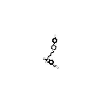 O=c1oc2cc([N+](=O)[O-])ccc2n1CCCCN1CCN(c2ccc(F)cc2)CC1